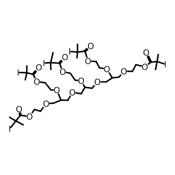 CC(C)(I)C(=O)OCCOCC(COCC(COCC(COCCOC(=O)C(C)(C)I)OCCOC(=O)C(C)(C)I)OCCOC(=O)C(C)(C)I)OCCOC(=O)C(C)(C)I